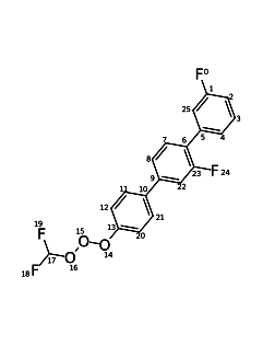 Fc1cccc(-c2ccc(-c3ccc(OOOC(F)F)cc3)cc2F)c1